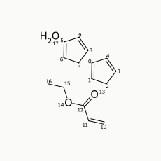 C1=CCC=C1.C1=CCC=C1.C=CC(=O)OCC.O